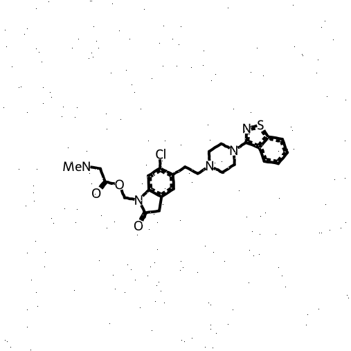 CNCC(=O)OCN1C(=O)Cc2cc(CCN3CCN(c4nsc5ccccc45)CC3)c(Cl)cc21